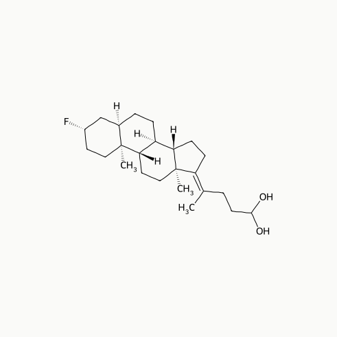 C/C(CCC(O)O)=C1/CC[C@H]2[C@@H]3CC[C@@H]4C[C@@H](F)CC[C@]4(C)[C@H]3CC[C@]12C